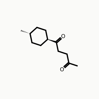 CC(=O)CCC(=O)[C@H]1CC[C@H](C)CC1